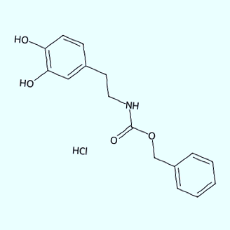 Cl.O=C(NCCc1ccc(O)c(O)c1)OCc1ccccc1